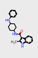 Cc1[nH]c2ccccc2c1C(=O)NC1CCC(Nc2ccccc2)CC1